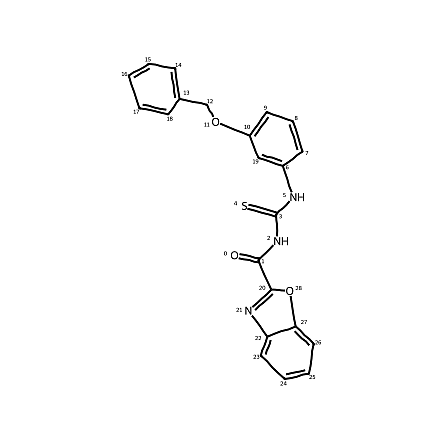 O=C(NC(=S)Nc1cccc(OCc2ccccc2)c1)c1nc2ccccc2o1